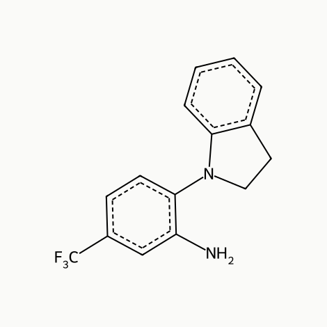 Nc1cc(C(F)(F)F)ccc1N1CCc2ccccc21